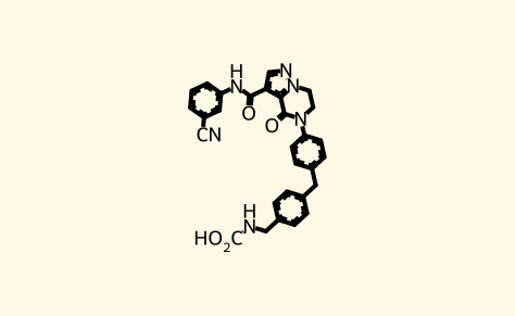 N#Cc1cccc(NC(=O)c2cnn3c2C(=O)N(c2ccc(Cc4ccc(CNC(=O)O)cc4)cc2)CC3)c1